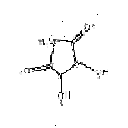 O=C1[SiH2]C(=O)C(O)C1O